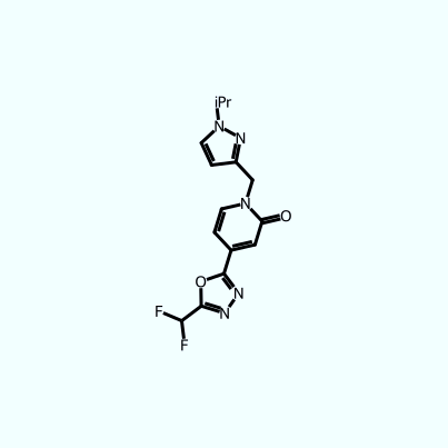 CC(C)n1ccc(Cn2ccc(-c3nnc(C(F)F)o3)cc2=O)n1